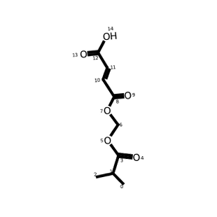 CC(C)C(=O)OCOC(=O)/C=C/C(=O)O